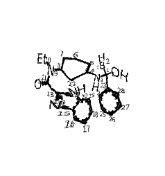 BC(O)(NC1CCCC(N(CC)C(=O)c2nc3ccccc3[nH]2)C1)c1ccccc1